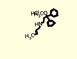 CC=CCNCCC(OC)(c1ccccc1)c1ccccc1.Cl